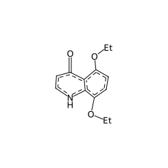 CCOc1ccc(OCC)c2c(=O)cc[nH]c12